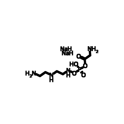 NCCNCCNOP(=O)(O)OC(=O)CN.[NaH].[NaH]